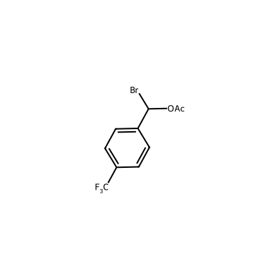 CC(=O)OC(Br)c1ccc(C(F)(F)F)cc1